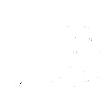 BC(B)(B)Oc1ncccc1Nc1cc(NC)n2ncc(C(=O)N[C@H]3CCC[C@H](O)C3)c2n1